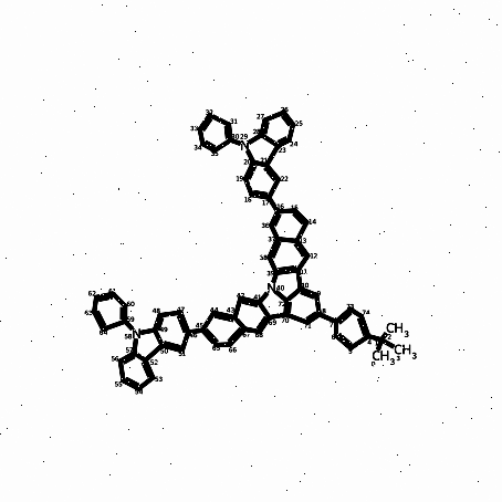 CC(C)(C)c1ccc(-c2cc3c4cc5ccc(-c6ccc7c(c6)c6ccccc6n7-c6ccccc6)cc5cc4n4c5cc6cc(-c7ccc8c(c7)c7ccccc7n8-c7ccccc7)ccc6cc5c(c2)c34)cc1